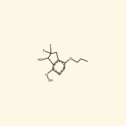 CCCOc1ccc(OO)c2c1CC(F)(F)C2O